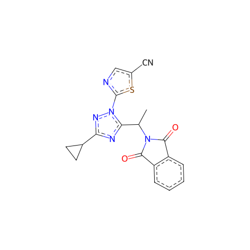 CC(c1nc(C2CC2)nn1-c1ncc(C#N)s1)N1C(=O)c2ccccc2C1=O